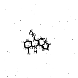 COOCc1cnn2cccc2c1NC1CCCCC1C